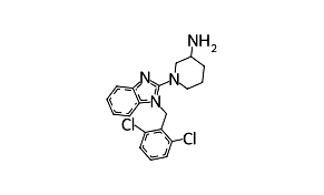 NC1CCCN(c2nc3ccccc3n2Cc2c(Cl)cccc2Cl)C1